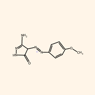 COc1ccc(/N=N/C2C(=O)NN=C2N)cc1